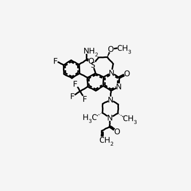 C=CC(=O)N1[C@H](C)CN(c2nc(=O)n3c4c(c(-c5ccc(F)cc5C(N)=O)c(C(F)(F)F)cc24)SC[C@@H](OC)C3)C[C@@H]1C